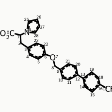 O=C(O)C(Cc1ccc(OCc2ccc(-c3ccc(C(F)(F)F)cc3)cc2)cc1)n1cccc1